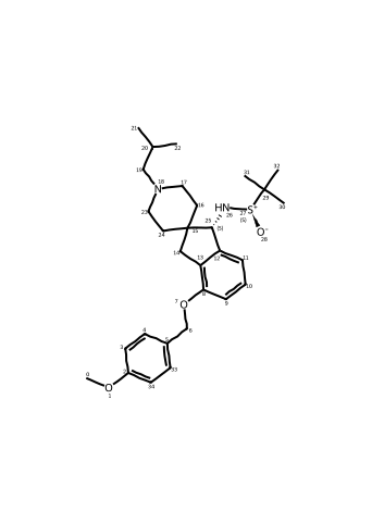 COc1ccc(COc2cccc3c2CC2(CCN(C[C](C)C)CC2)[C@@H]3N[S@+]([O-])C(C)(C)C)cc1